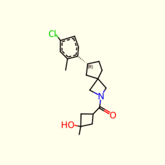 Cc1cc(Cl)ccc1[C@@H]1CCC2(C1)CN(C(=O)C1CC(C)(O)C1)C2